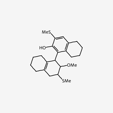 COC1C(SC)CC2=C(CCCC2)C1c1c(O)c(SC)cc2c1CCCC2